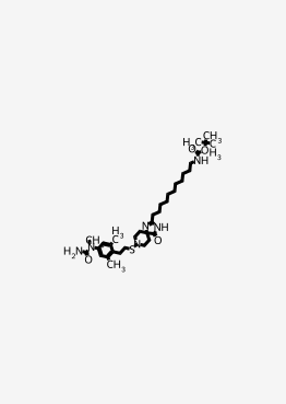 Cc1cc(N(C)C(N)=O)cc(C)c1CCSN1CCC2(CC1)N=C(CCCCCCCCCCCNC(=O)OC(C)(C)C)NC2=O